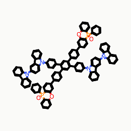 O=P1(c2ccccc2)c2ccccc2Oc2cc(-c3ccc(-c4cc(-c5ccc(-n6c7ccccc7c7cc(-n8c9ccccc9c9ccccc98)ccc76)cc5)c(-c5ccc(-c6ccc7c(c6)Oc6ccccc6P7(=O)c6ccccc6)cc5)cc4-c4ccc(-n5c6ccccc6c6cc(-n7c8ccccc8c8ccccc87)ccc65)cc4)cc3)ccc21